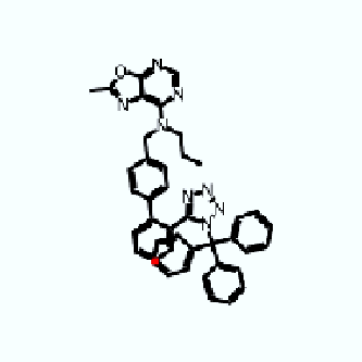 CCCN(Cc1ccc(-c2ccccc2-c2nnnn2C(c2ccccc2)(c2ccccc2)c2ccccc2)cc1)c1ncnc2oc(C)nc12